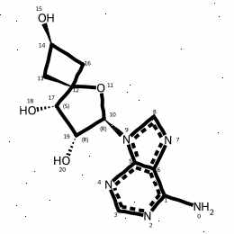 Nc1ncnc2c1ncn2[C@@H]1O[C@]2(C[C@@H](O)C2)[C@@H](O)[C@H]1O